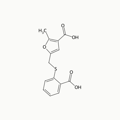 Cc1oc(CSc2ccccc2C(=O)O)cc1C(=O)O